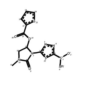 CCC[S+]([O-])c1nnc(N2C(=O)N(C)CC2OC(=O)c2cccs2)s1